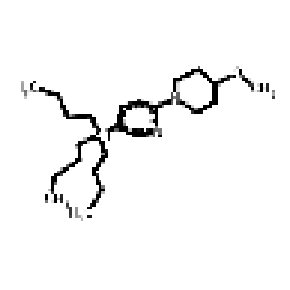 CCC[CH2][Sn]([CH2]CCC)([CH2]CCC)[c]1ccc(N2CCC(OC)CC2)nc1